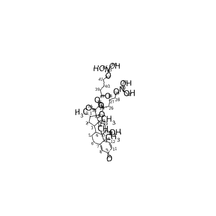 C[C@H]1CC2C3CCC4=CC(=O)C=C[C@]4(C)[C@@]3(C)[C@@H](O)C[C@]2(C)[C@@]1(OC(=O)CCCON(O)O)C(=O)COC(=O)CCCON(O)O